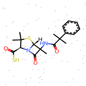 CC(C)(C(=O)NC1(C)C(=O)N2[C@@H](C(=O)S)C(C)(C)S[C@@H]21)c1ccccc1